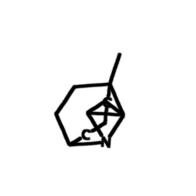 CC12CCCC(CC1)N1C3CC312